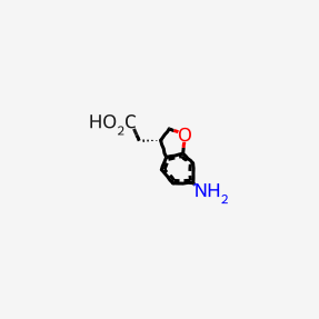 Nc1ccc2c(c1)OC[C@H]2CC(=O)O